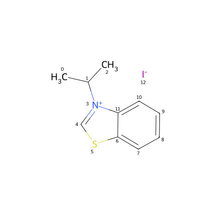 CC(C)[n+]1csc2ccccc21.[I-]